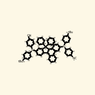 [C-]#[N+]c1ccc(N(c2ccc(C(C)(C)C)cc2)c2ccc3c4c(c5ccccc5c3c2)-c2ccc(N(c3ccc(C#N)cc3)c3ccc(C(C)(C)C)cc3)cc2C4(c2ccccc2)c2ccccc2)cc1